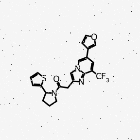 O=C(Cc1cn2cc(-c3ccoc3)cc(C(F)(F)F)c2n1)N1CCCC1c1cccs1